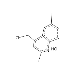 Cc1ccc2nc(C)cc(CCl)c2c1.Cl